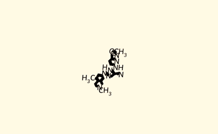 Cc1cc(Nc2ncc(C#N)c(Nc3ccc4c(n3)N=S(C)(=O)C4)n2)cc2c1CCN(C)C2